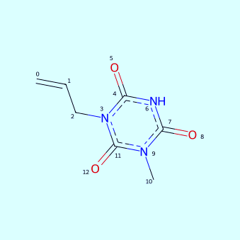 C=CCn1c(=O)[nH]c(=O)n(C)c1=O